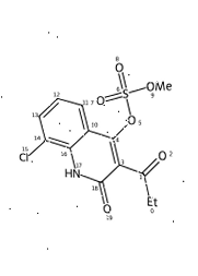 CCC(=O)c1c(OS(=O)(=O)OC)c2cccc(Cl)c2[nH]c1=O